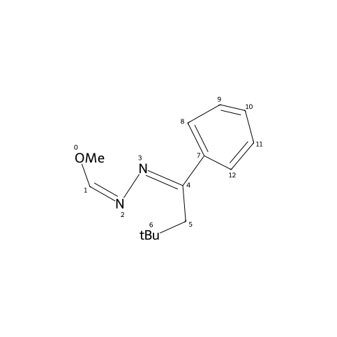 CO/C=N\N=C(/CC(C)(C)C)c1ccccc1